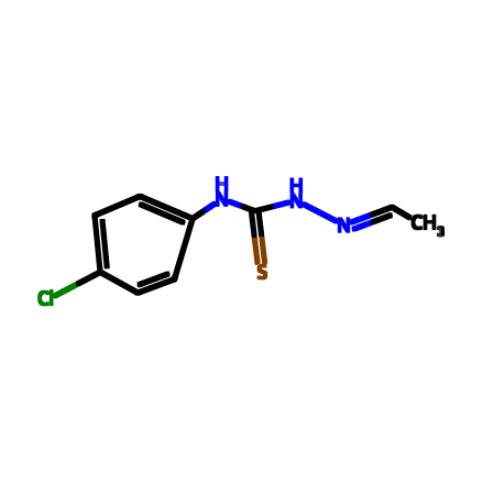 CC=NNC(=S)Nc1ccc(Cl)cc1